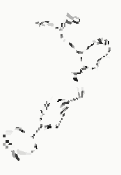 COC(=O)CC1C=CC=CC1=NNc1ccc(-c2cnco2)cc1